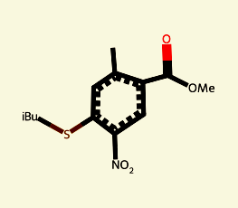 CCC(C)Sc1cc(C)c(C(=O)OC)cc1[N+](=O)[O-]